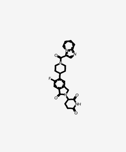 O=C1CCC(N2Cc3cc(C4CCN(C(=O)c5cnc6ccccn56)CC4)c(F)cc3C2=O)C(=O)N1